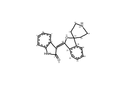 O=C1Nc2ccccc2C1=C1OC2(CCNCC2)c2ccccc21